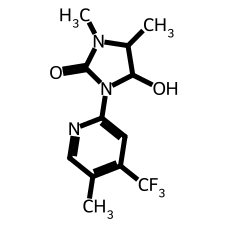 Cc1cnc(N2C(=O)N(C)C(C)C2O)cc1C(F)(F)F